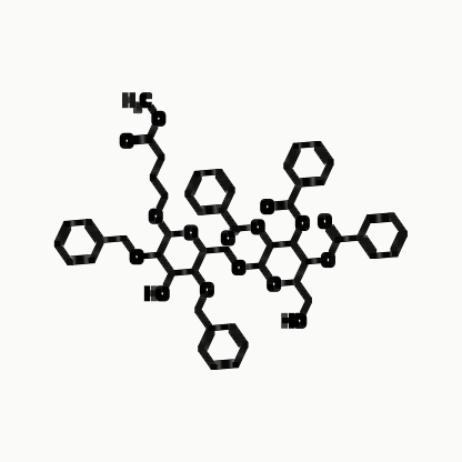 COC(=O)CCCOC1OC(COC2OC(CO)C(OC(=O)c3ccccc3)C(OC(=O)c3ccccc3)C2OC(=O)c2ccccc2)C(OCc2ccccc2)C(O)C1OCc1ccccc1